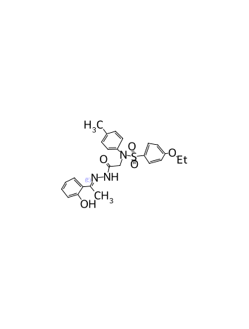 CCOc1ccc(S(=O)(=O)N(CC(=O)N/N=C(\C)c2ccccc2O)c2ccc(C)cc2)cc1